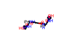 CC(C)CC(/C=C/CC(=O)NC1CC(C)(C)N(O)C(C)(C)C1)CNC(=O)CCCCCCCCCCC(=O)NC(/C=C/CC(=O)NC1CC(C)(C)N(O)C(C)(C)C1)CC(C)C